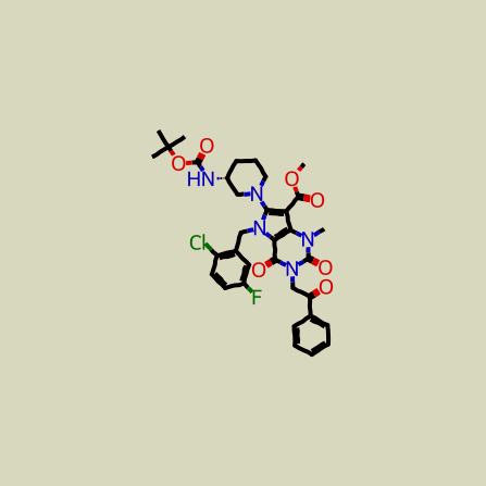 COC(=O)c1c(N2CCC[C@@H](NC(=O)OC(C)(C)C)C2)n(Cc2cc(F)ccc2Cl)c2c(=O)n(CC(=O)c3ccccc3)c(=O)n(C)c12